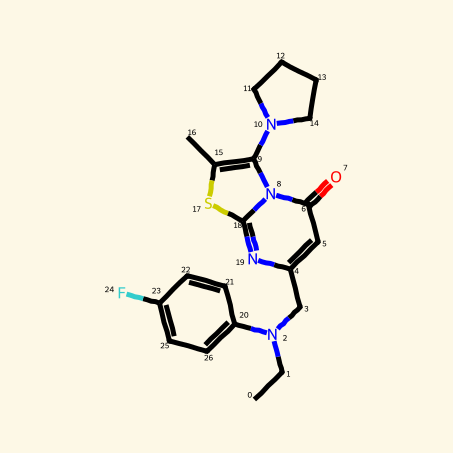 CCN(Cc1cc(=O)n2c(N3CCCC3)c(C)sc2n1)c1ccc(F)cc1